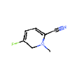 CN1CC(F)=CC=C1C#N